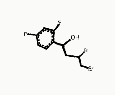 OC(CC(Br)CBr)c1ccc(F)cc1F